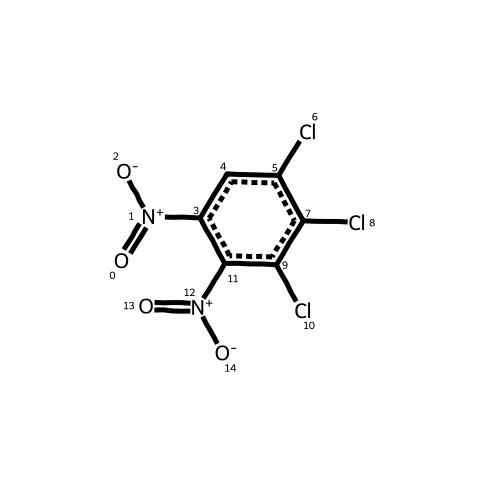 O=[N+]([O-])c1cc(Cl)c(Cl)c(Cl)c1[N+](=O)[O-]